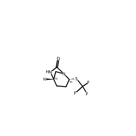 O=C1N[C@H]2CC[C@@H](SC(F)(F)F)N1C2